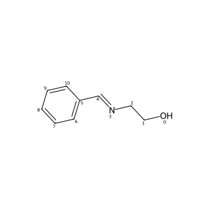 OCCN=Cc1ccccc1